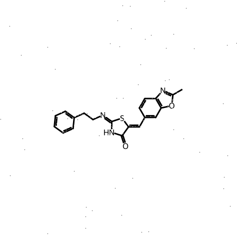 Cc1nc2ccc(/C=C3\S/C(=N/CCc4ccccc4)NC3=O)cc2o1